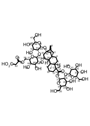 C=C1C[C@@]23CC[C@H]4[C@@](C)(CCC[C@@]4(C)C(=O)O[C@@H]4OC(CO)[C@@H](O)[C@H](O)[C@H]4O[C@@H]4O[C@H](CO)[C@@H](O)[C@H](O)[C@H]4O)[C@@H]2CC[C@]1(O[C@@H]1O[C@H](CO)[C@@H](O)[C@H](O)[C@H]1O[C@@H]1O[C@H](COC(=O)CC(=O)O)[C@@H](O)[C@H](O)[C@H]1O)C3